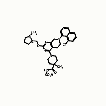 CN1CCC[C@@H]1COc1nc2c(c(N3CCC(C)(C(=O)NS(=O)(=O)O)CC3)n1)CCN(c1cccc3cccc(Cl)c13)C2